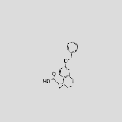 O=C(O)C1CC12CCCc1cc(OCc3ccccc3)ccc12